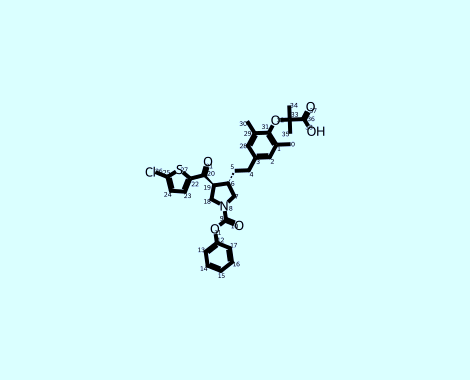 Cc1cc(CC[C@@H]2CN(C(=O)Oc3ccccc3)C[C@H]2C(=O)c2ccc(Cl)s2)cc(C)c1OC(C)(C)C(=O)O